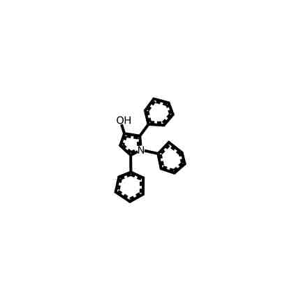 Oc1cc(-c2ccccc2)n(-c2ccccc2)c1-c1ccccc1